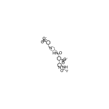 O=C(NCC1CCN(Cc2cccc([N+](=O)[O-])c2)CC1)c1ccc(-c2ccnc(NC(=O)C3CC3)c2)c([N+](=O)[O-])c1